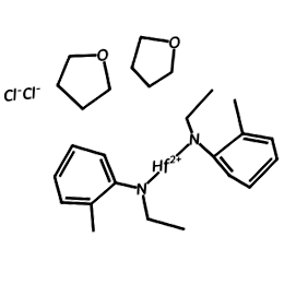 C1CCOC1.C1CCOC1.CC[N]([Hf+2][N](CC)c1ccccc1C)c1ccccc1C.[Cl-].[Cl-]